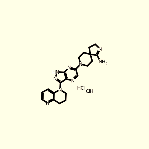 Cl.Cl.NC1=NCCC12CCN(c1cnc3c(N4CCCc5ncccc54)n[nH]c3n1)CC2